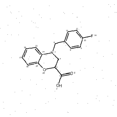 O=C(O)C1CN(Cc2ccc(F)cc2)c2ccccc2O1